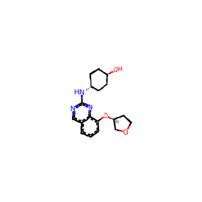 O[C@H]1CC[C@H](Nc2ncc3cccc(O[C@H]4CCOC4)c3n2)CC1